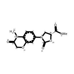 CNC(=O)[C@H]1CN(c2ccc3c(c2)OCC(=O)N3C)C(=O)O1